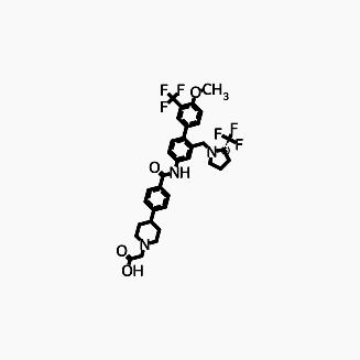 COc1ccc(-c2ccc(NC(=O)c3ccc(C4CCN(CC(=O)O)CC4)cc3)cc2CN2CCC[C@H]2C(F)(F)F)cc1C(F)(F)F